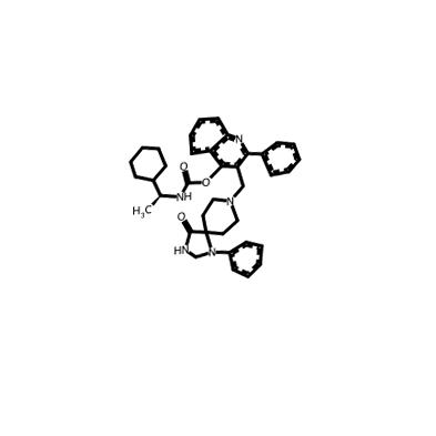 C[C@H](NC(=O)Oc1c(CN2CCC3(CC2)C(=O)NCN3c2ccccc2)c(-c2ccccc2)nc2ccccc12)C1CCCCC1